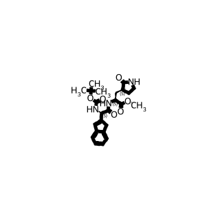 COC(=O)[C@H](C[C@@H]1CCNC1=O)NC(=O)[C@@H](NC(=O)OC(C)(C)C)C1=Cc2ccccc2C1